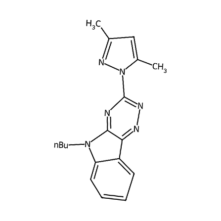 CCCCn1c2ccccc2c2nnc(-n3nc(C)cc3C)nc21